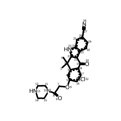 CC1(C)c2cc(OCC(=O)N3CCNCC3)ccc2C(=O)c2c1[nH]c1cc(C#N)ccc21.Cl